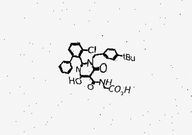 CC(C)(C)c1ccc(Cn2c(-c3c(Cl)cccc3-c3ccccc3)nc(O)c(C(=O)NCC(=O)O)c2=O)cc1